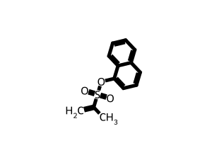 C=C(C)S(=O)(=O)Oc1cccc2ccccc12